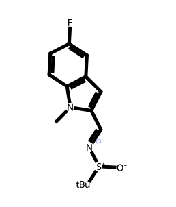 Cn1c(/C=N/[S+]([O-])C(C)(C)C)cc2cc(F)ccc21